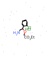 CCOC(=O)COC(CN)c1ccccc1Cl.Cl